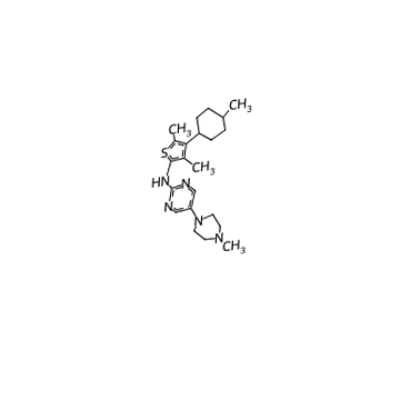 Cc1sc(Nc2ncc(N3CCN(C)CC3)cn2)c(C)c1C1CCC(C)CC1